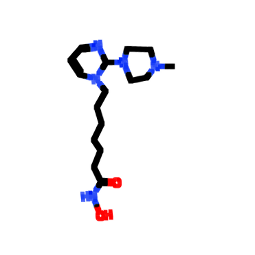 CN1CCN(C2N=CC=CN2CCCCCCC(=O)NO)CC1